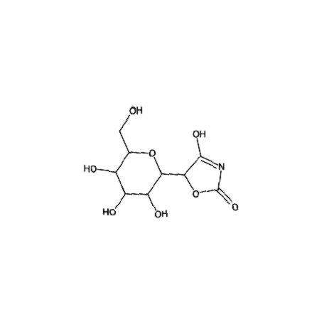 O=C1N=C(O)C(C2OC(CO)C(O)C(O)C2O)O1